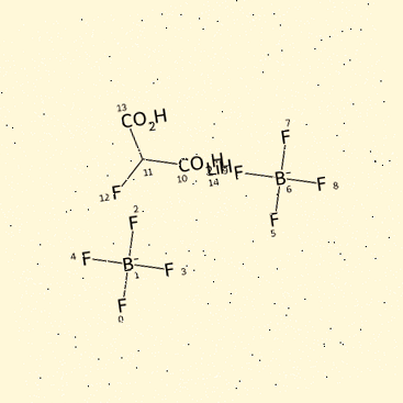 F[B-](F)(F)F.F[B-](F)(F)F.O=C(O)C(F)C(=O)O.[LiH]